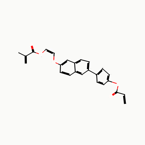 C=CC(=O)Oc1ccc(-c2ccc3cc(O/C=C\OC(=O)C(=C)C)ccc3c2)cc1